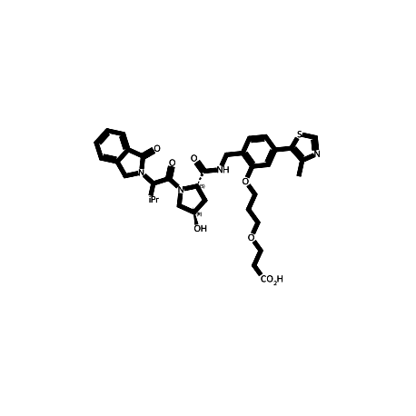 Cc1ncsc1-c1ccc(CNC(=O)[C@@H]2C[C@@H](O)CN2C(=O)C(C(C)C)N2Cc3ccccc3C2=O)c(OCCCOCCC(=O)O)c1